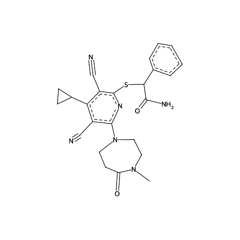 CN1CCN(c2nc(SC(C(N)=O)c3ccccc3)c(C#N)c(C3CC3)c2C#N)CCC1=O